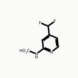 O=C(O)Nc1cc(C(F)F)ccn1